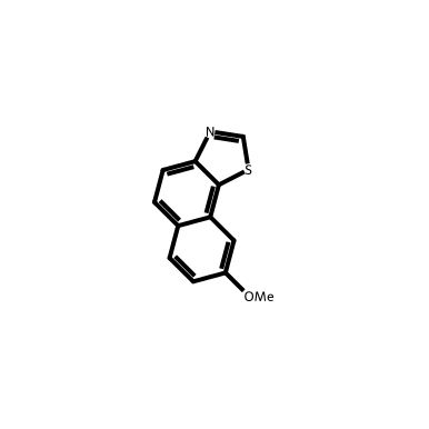 COc1ccc2ccc3ncsc3c2c1